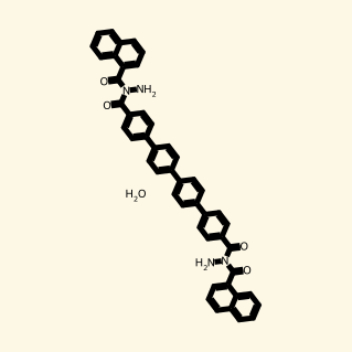 NN(C(=O)c1ccc(-c2ccc(-c3ccc(-c4ccc(C(=O)N(N)C(=O)c5cccc6ccccc56)cc4)cc3)cc2)cc1)C(=O)c1cccc2ccccc12.O